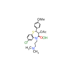 COc1ccc(C2Sc3ccc(Cl)cc3N(CCCN(C)C)C(=O)C2OC(C)=O)cc1.Cl